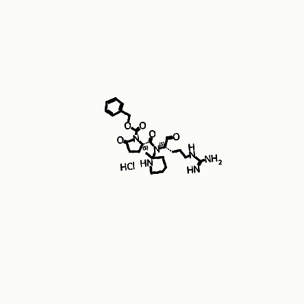 CC1(N(C(=O)[C@@H]2CCC(=O)N2C(=O)OCc2ccccc2)[C@H](C=O)CCCNC(=N)N)CCCCN1.Cl